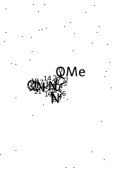 COc1ccc2c3ccnc(C)c3n(C(C)CN3CCOCC3)c2c1